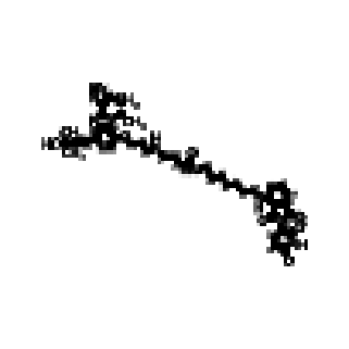 CCn1c(-c2nonc2N)nc2c(C#CC(C)(C)O)ncc(OCCCNCCCC(=O)NCCCCCCCNc3cccc4c3C(=O)N(C3CCC(=O)NC3=O)C4=O)c21